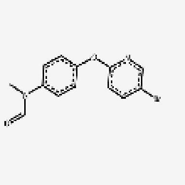 CN(C=O)c1ccc(Oc2ccc(Br)cn2)cc1